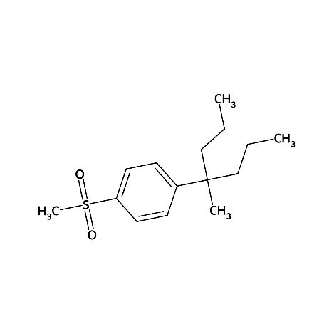 CCCC(C)(CCC)c1ccc(S(C)(=O)=O)cc1